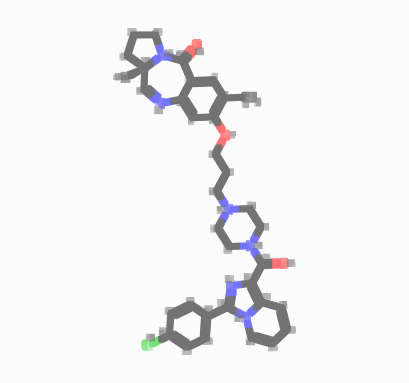 Cc1cc2c(cc1OCCCN1CCN(C(=O)c3nc(-c4ccc(Cl)cc4)n4ccccc34)CC1)N=C[C@@H]1CCCN1C2=O